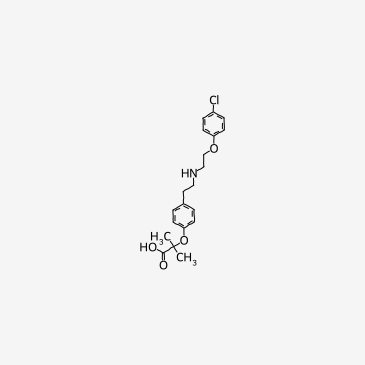 CC(C)(Oc1ccc(CCNCCOc2ccc(Cl)cc2)cc1)C(=O)O